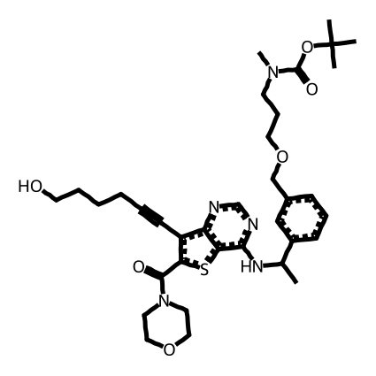 CC(Nc1ncnc2c(C#CCCCCO)c(C(=O)N3CCOCC3)sc12)c1cccc(COCCCN(C)C(=O)OC(C)(C)C)c1